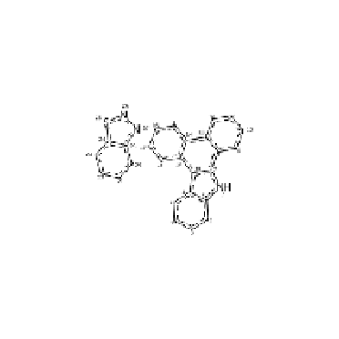 c1ccc2c(c1)[nH]c1c3ccccc3c3ccccc3c21.c1ccc2snnc2c1